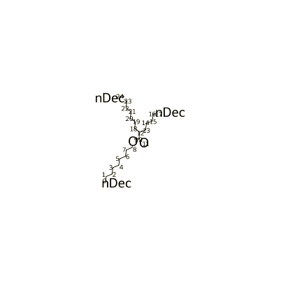 CCCCCCCCCCCCCCCCCCOC(=O)C(CCCCCCCCCCCCCC)CCCCCCCCCCCCCCCC